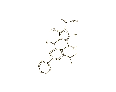 COC(=O)n1c(C)c2c(c1O)C(=O)c1cc(-c3ccccc3)cc(N(C)C)c1C2=O